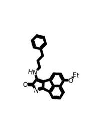 CCOc1ccc2c3c(cccc13)C1=NC(=O)C(NCCCc3ccccc3)=C12